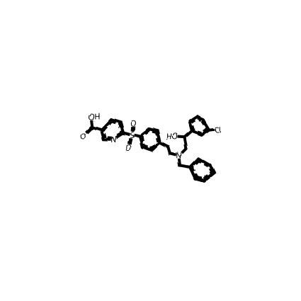 O=C(O)c1ccc(S(=O)(=O)c2ccc(CCN(Cc3ccccc3)CC(O)c3cccc(Cl)c3)cc2)nc1